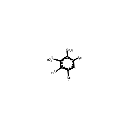 O=S(=O)(O)c1c(O)cc(O)c(O)c1S(=O)(=O)O